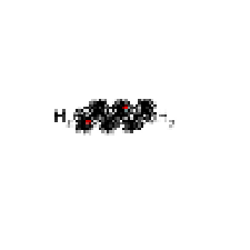 C=c1s/c(=c2/s/c(=c3/s/c(=c4/s/c(=c5/s/c(=c6/sc(=C)c7c6OCCO7)c6c5OCCO6)c5c4OCCO5)c4c3OCCO4)c3c2OCCO3)c2c1OCCO2